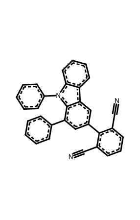 N#Cc1cccc(C#N)c1-c1cc(-c2ccccc2)c2c(c1)c1ccccc1n2-c1ccccc1